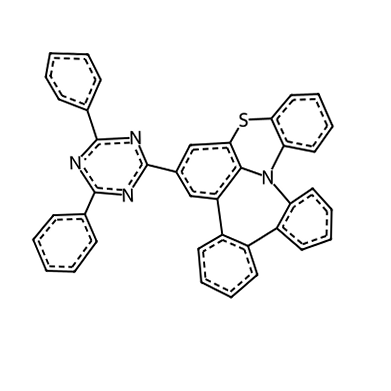 c1ccc(-c2nc(-c3ccccc3)nc(-c3cc4c5c(c3)-c3ccccc3-c3ccccc3N5c3ccccc3S4)n2)cc1